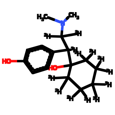 [2H]C([2H])(N(C)C)C([2H])(c1ccc(O)cc1)C1(O)C([2H])([2H])C([2H])([2H])C([2H])([2H])C([2H])([2H])C1([2H])[2H]